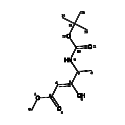 COC(=O)C=C(O)C(C)NC(=O)OC(C)(C)C